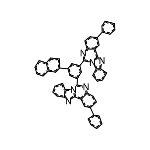 c1ccc(-c2ccc3nc(-c4cc(-c5ccc6ccccc6c5)cc(-c5nc6ccc(-c7ccccc7)cc6c6nc7ccccc7n56)c4)n4c5ccccc5nc4c3c2)cc1